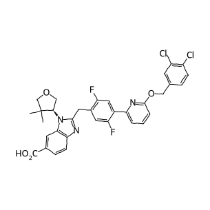 CC1(C)COC[C@H]1n1c(Cc2cc(F)c(-c3cccc(OCc4ccc(Cl)c(Cl)c4)n3)cc2F)nc2ccc(C(=O)O)cc21